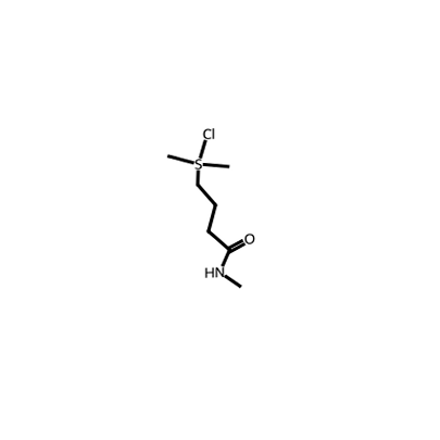 CNC(=O)CCCS(C)(C)Cl